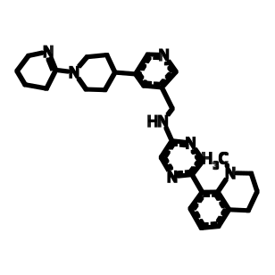 CN1CCCc2cccc(-c3cnc(NCc4cncc(C5CCN(C6=NCCCC6)CC5)c4)cn3)c21